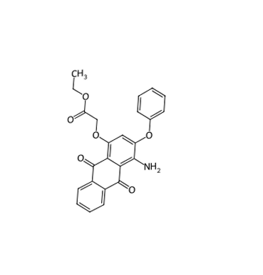 CCOC(=O)COc1cc(Oc2ccccc2)c(N)c2c1C(=O)c1ccccc1C2=O